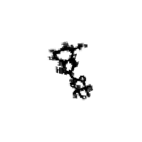 CC1(C)OB(c2cc3c(F)cccc3[nH]2)OC1(C)C